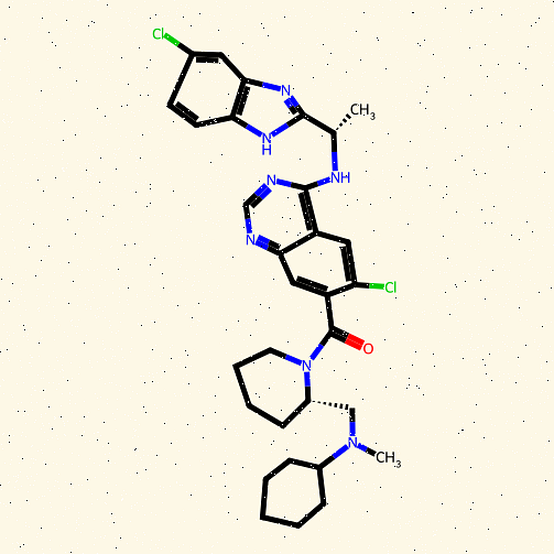 C[C@H](Nc1ncnc2cc(C(=O)N3CCCC[C@H]3CN(C)C3CCCCC3)c(Cl)cc12)c1nc2cc(Cl)ccc2[nH]1